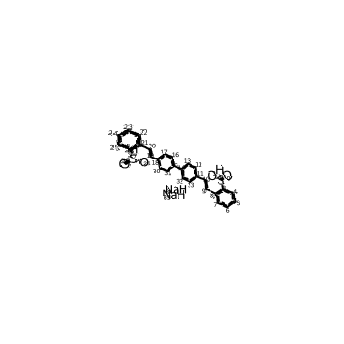 O=[SH](=O)c1ccccc1C=Cc1ccc(-c2ccc(C=Cc3ccccc3[SH](=O)=O)cc2)cc1.[NaH].[NaH]